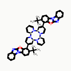 CC(C)(C)c1ccc2c(oc3nc4ccccc4n32)c1C1=CB2N3C=CC=CB3N3C=CC(c4c(C(C)(C)C)ccc5c4oc4nc6ccccc6n45)=CB3N3C=CC=CB3N2C=C1